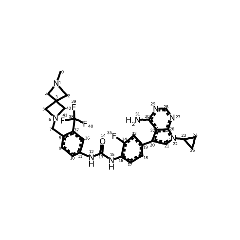 CN1CC2(C1)CN(Cc1ccc(NC(=O)Nc3ccc(-c4cn(C5CC5)c5ncnc(N)c45)cc3F)cc1C(F)(F)F)C2